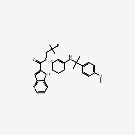 COc1ccc(C(C)(C)NC2=C[C@@H](N(CC(F)(F)F)C(=O)c3cc4ncccc4[nH]3)CCC2)cc1